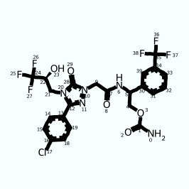 NC(=O)OCC(NC(=O)Cn1nc(-c2ccc(Cl)cc2)n(C[C@H](O)C(F)(F)F)c1=O)c1cccc(C(F)(F)F)c1